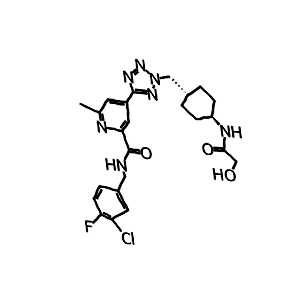 Cc1cc(-c2nnn(C[C@H]3CC[C@H](NC(=O)CO)CC3)n2)cc(C(=O)NCc2ccc(F)c(Cl)c2)n1